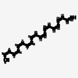 N#C\N=N/N=N\N=N/N=N\N=N/N=N\N=N/N=N\N=N/N=N